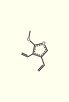 C=Cc1coc(OC)c1C=C